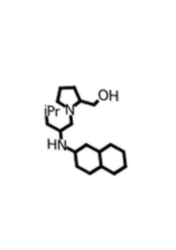 CC(C)CC(CN1CCCC1CO)NC1CCC2CCCCC2C1